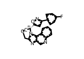 Fc1ccc(-c2cc([C@H]3COCc4nc5cnc6ccccc6c5n43)on2)cc1